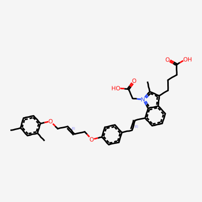 Cc1ccc(OC/C=C/COc2ccc(/C=C/c3cccc4c(CCCC(=O)O)c(C)n(CC(=O)O)c34)cc2)c(C)c1